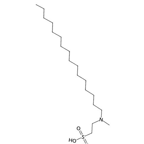 CCCCCCCCCCCCCCCCN(C)CCS(=O)(=O)O